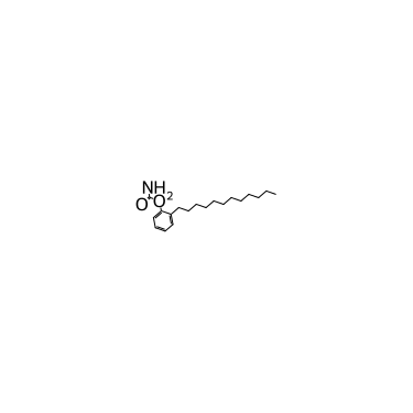 CCCCCCCCCCCCc1ccccc1OC(N)=O